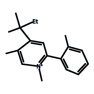 CCC(C)(C)c1cc(-c2ccccc2C)[n+](C)cc1C